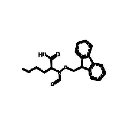 CCCCC(C(=O)O)N(C=O)OCC1c2ccccc2-c2ccccc21